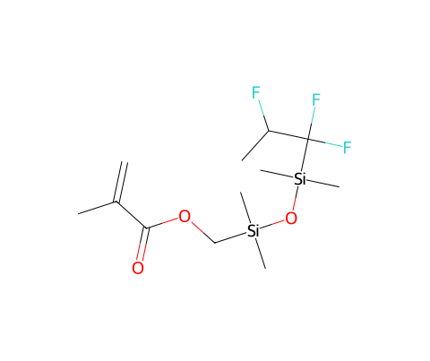 C=C(C)C(=O)OC[Si](C)(C)O[Si](C)(C)C(F)(F)C(C)F